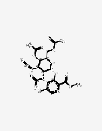 COC(=O)c1ncc(Br)cc1S[C@H]1O[C@H](COC(C)=O)[C@H](OC(C)=O)[C@H](N=[N+]=[N-])[C@H]1OC(C)=O